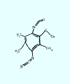 Cc1c(C)c(N=C=S)c(SC#N)c(C)c1N=C=S